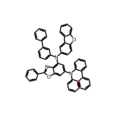 c1ccc(-c2cccc(N(c3ccc4oc5ccccc5c4c3)c3cc(N(c4ccccc4)c4ccccc4-c4ccccc4)cc4oc(-c5ccccc5)nc34)c2)cc1